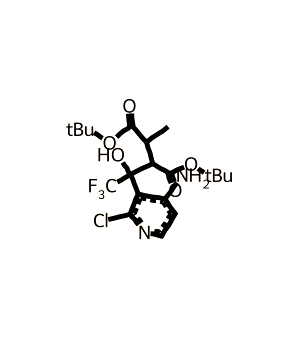 CC(C(=O)OC(C)(C)C)C(C(=O)OC(C)(C)C)C(O)(c1c(N)ccnc1Cl)C(F)(F)F